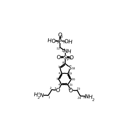 NCCOc1cc2cc(S(=O)(=O)NCP(=O)(O)O)sc2cc1OCCN